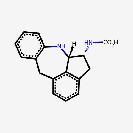 O=C(O)N[C@@H]1Cc2cccc3c2[C@@H]1Nc1ccccc1C3